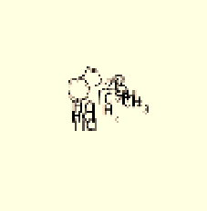 C[O][Zr]([CH3])(=[O])(=[SiH2])([CH2]CO)[CH]1C=Cc2ccccc21.Cl.Cl